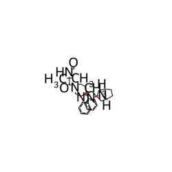 Cc1nc2ccccc2n1[C@H]1C[C@H]2CC[C@@H](C1)N2CCC1(c2ccccc2)CCN(C(=O)C(C)(C)NC=O)CC1